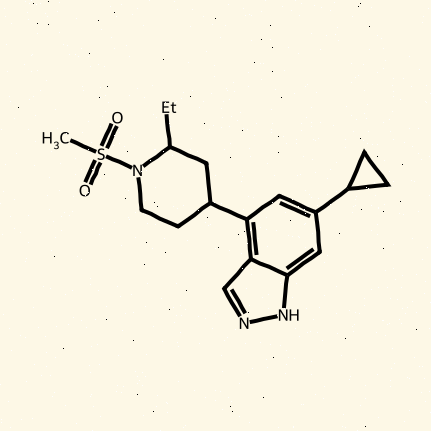 CCC1CC(c2cc(C3CC3)cc3[nH]ncc23)CCN1S(C)(=O)=O